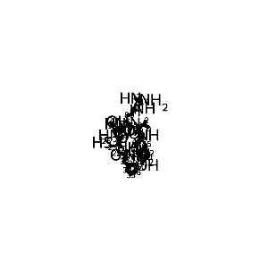 CC(C)[C@H](NC(=O)[C@H](CCCNC(=N)N)NC(=O)[C@H](CO)NC(=O)[C@H](CS)NC(=O)[C@@H](N)Cc1ccccc1)C(=O)N[C@H](C=O)Cc1ccc(O)cc1